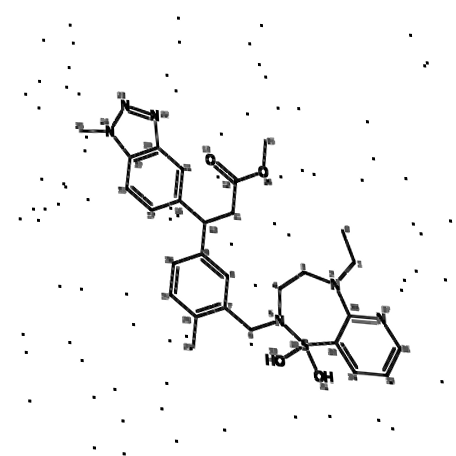 CCN1CCN(Cc2cc(C(CC(=O)OC)c3ccc4c(c3)nnn4C)ccc2C)S(O)(O)c2cccnc21